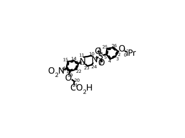 CC(C)Oc1ccc(S(=O)(=O)N2CCN(c3ccc([N+](=O)[O-])c(OCC(=O)O)c3)CC2)cc1